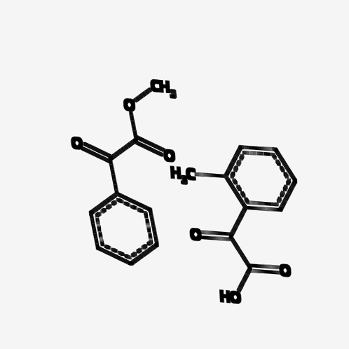 COC(=O)C(=O)c1ccccc1.Cc1ccccc1C(=O)C(=O)O